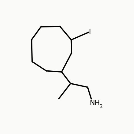 CC(CN)C1CCCCCC(I)C1